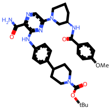 COc1ccc(C(=O)N[C@@H]2CCCN(c3cnc(C(N)=O)c(Nc4ccc(C5CCN(C(=O)OC(C)(C)C)CC5)cc4)n3)C2)cc1